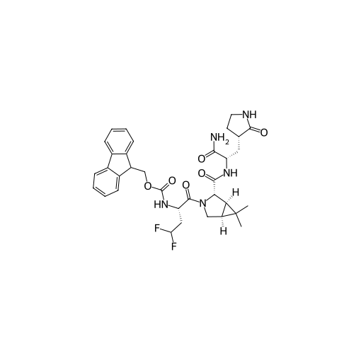 CC1(C)[C@@H]2[C@@H](C(=O)N[C@@H](C[C@@H]3CCNC3=O)C(N)=O)N(C(=O)[C@H](CC(F)F)NC(=O)OCC3c4ccccc4-c4ccccc43)C[C@@H]21